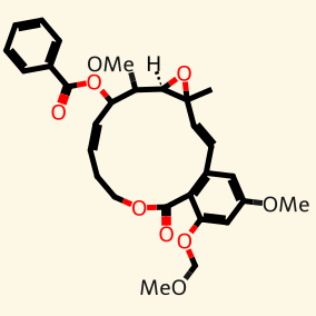 COCOc1cc(OC)cc2c1C(=O)OCC/C=C\C(OC(=O)c1ccccc1)C(OC)[C@H]1OC1(C)/C=C/2